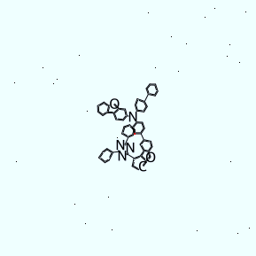 c1ccc(-c2ccc(N(c3ccc(-c4ccc5oc6cccc(-c7nc(-c8ccccc8)nc(-c8ccccc8)n7)c6c5c4)cc3)c3ccc4c(c3)oc3ccccc34)cc2)cc1